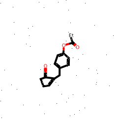 CCC(=O)Oc1ccc(CC2=CCCC2=O)cc1